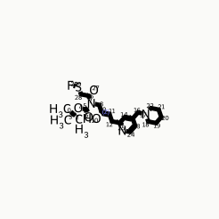 CC(C)(C)OC(=O)N(C/C(O)=C/Cc1cc(CN2CCCCC2)ccn1)C(=O)CSF